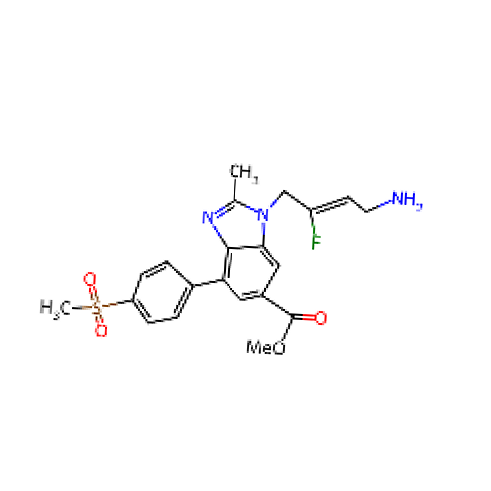 COC(=O)c1cc(-c2ccc(S(C)(=O)=O)cc2)c2nc(C)n(CC(F)=CCN)c2c1